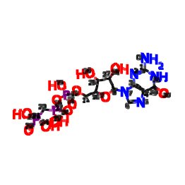 Nc1nc2c(ncn2C2OC(COP(=O)(O)OP(=O)(O)CP(=O)(O)O)C(O)C2O)c(=O)[nH]1